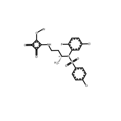 CC(C)Oc1c(NCC[C@@H](C)N(c2cc(Cl)ccc2F)S(=O)(=O)c2ccc(Cl)cc2)c(=O)c1=O